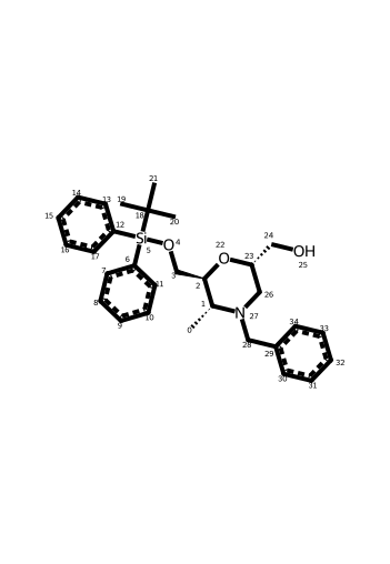 C[C@@H]1[C@@H](CO[Si](c2ccccc2)(c2ccccc2)C(C)(C)C)O[C@H](CO)CN1Cc1ccccc1